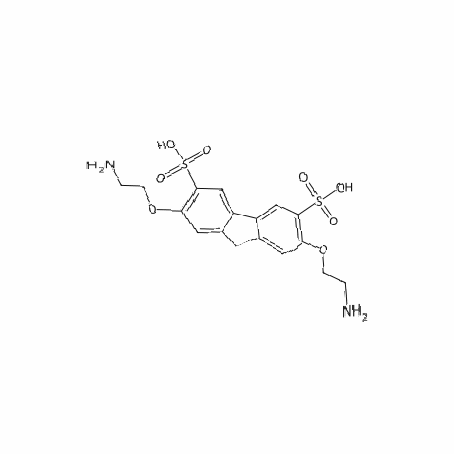 NCCOc1cc2c(cc1S(=O)(=O)O)-c1cc(S(=O)(=O)O)c(OCCN)cc1C2